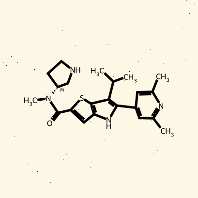 Cc1cc(-c2[nH]c3cc(C(=O)N(C)[C@@H]4CCNC4)sc3c2C(C)C)cc(C)n1